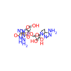 Nc1nc2c(ncn2[C@@H]2O[C@H](CO)C[C@H]2P(=O)(S)OC[C@H]2O[C@@H](n3ccc4c(N)ncnc43)[C@H](O)[C@@H]2O)c(=O)[nH]1